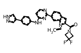 C=Cn1c(C(=O)N2CC(F)(F)C2)cc2ccc(-c3nccc(Nc4ccc(-c5cn[nH]c5)cc4)n3)cc21